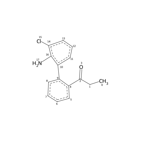 CCC(=O)c1ccccc1-c1cccc(Cl)c1N